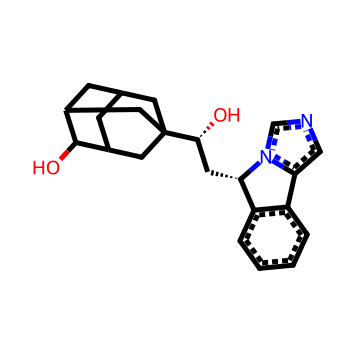 OC1C2CC3CC1CC([C@H](O)C[C@H]1c4ccccc4-c4cncn41)(C3)C2